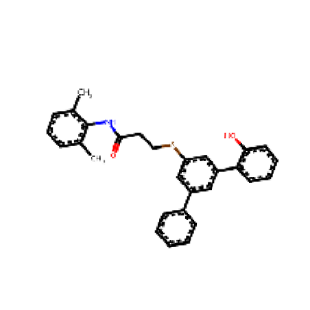 Cc1cccc(C)c1NC(=O)CCSc1cc(-c2ccccc2)cc(-c2ccccc2O)c1